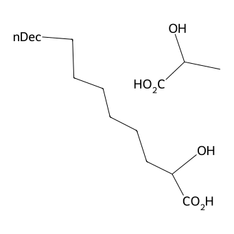 CC(O)C(=O)O.CCCCCCCCCCCCCCCCC(O)C(=O)O